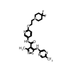 Cc1nsc(Nc2cnc(C(F)(F)F)cn2)c1C(=O)Nc1ccc(OCCN2CCC(F)(F)CC2)nc1